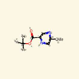 [2H]C([2H])([2H])OC(=O)c1cnc(OC)cn1